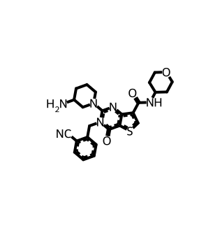 N#Cc1ccccc1Cn1c(N2CCCC(N)C2)nc2c(C(=O)NC3CCOCC3)csc2c1=O